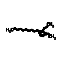 CCCCCCCCCC[n+]1ccn(CC)c1CCC